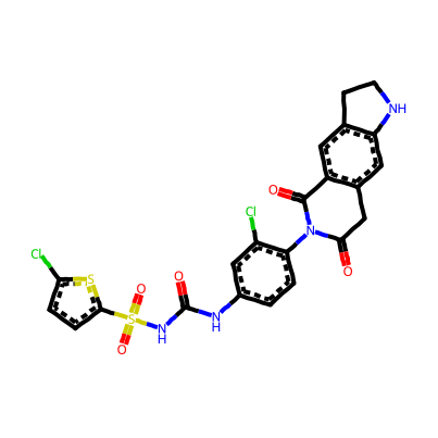 O=C(Nc1ccc(N2C(=O)Cc3cc4c(cc3C2=O)CCN4)c(Cl)c1)NS(=O)(=O)c1ccc(Cl)s1